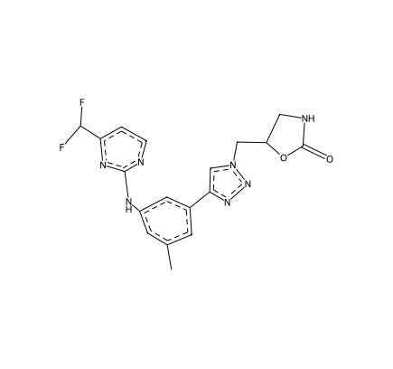 Cc1cc(Nc2nccc(C(F)F)n2)cc(-c2cn(CC3CNC(=O)O3)nn2)c1